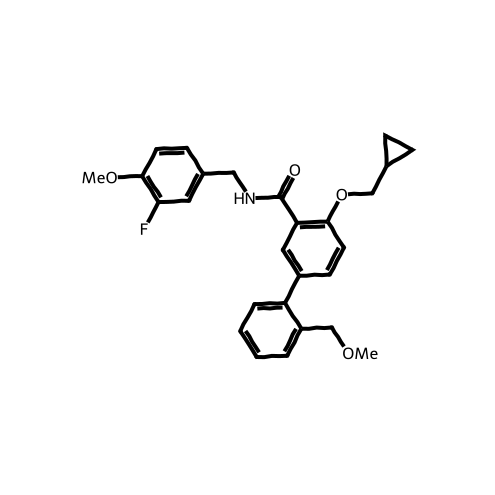 COCc1ccccc1-c1ccc(OCC2CC2)c(C(=O)NCc2ccc(OC)c(F)c2)c1